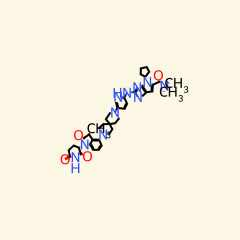 C[C@@H]1C(=O)N([C@H]2CCC(=O)NC2=O)c2cccc(N3CCC4(CCN(c5ccc(Nc6ncc7cc(C(=O)N(C)C)n(C8CCCC8)c7n6)nc5)CC4)CC3)c21